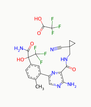 Cc1ccc(C(O)(C(N)=O)C(F)(F)F)cc1-c1cnc(N)c(C(=O)NCC2(C#N)CC2)n1.O=C(O)C(F)(F)F